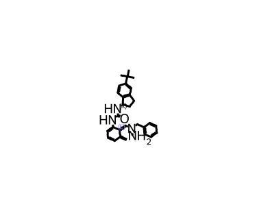 C=c1cccc(NC(=O)N[C@@H]2CCc3cc(C(C)(C)C)ccc32)/c1=C/N(N)Cc1ccccc1